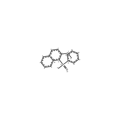 COc1ccc2ccccc2c1P(C)(=O)c1ccccc1